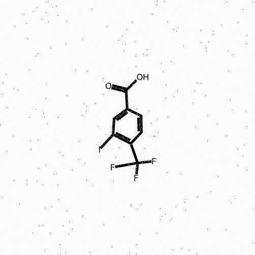 O=C(O)c1ccc(C(F)(F)F)c(I)c1